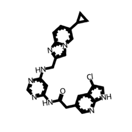 O=C(Cc1cnc2[nH]cc(Cl)c2c1)Nc1cc(NCc2cn3cc(C4CC4)ccc3n2)ncn1